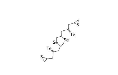 [Te]=C(CC1CS1)CC1C[Se]C(CC(=[Te])CC2CS2)C[Se]1